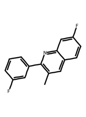 Cc1cc2ccc(F)cc2nc1-c1cccc(F)c1